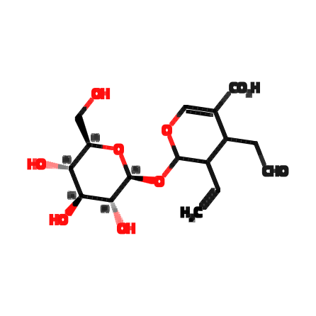 C=CC1C(O[C@@H]2O[C@H](CO)[C@@H](O)[C@H](O)[C@H]2O)OC=C(C(=O)O)C1CC=O